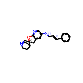 C(=C\c1ccccc1)/CNc1cnc2c(c1)C[C@@]1(CN3CCC1CC3)O2